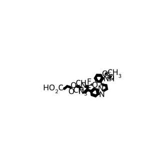 CC(C)(OC(=O)CCC(=O)O)c1ncc(-c2ccc3nc4n(c3c2)[C@@H](c2c(NS(C)(=O)=O)cccc2OC(F)F)CC4)cn1